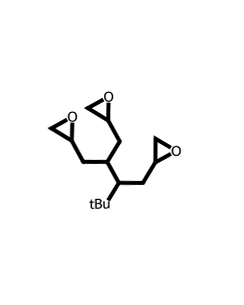 CC(C)(C)C(CC1CO1)C(CC1CO1)CC1CO1